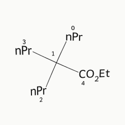 CCCC(CCC)(CCC)C(=O)OCC